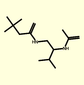 C=C(C)NC(CNC(=C)CC(C)(C)C)C(C)C